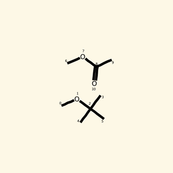 COC(C)(C)C.COC(C)=O